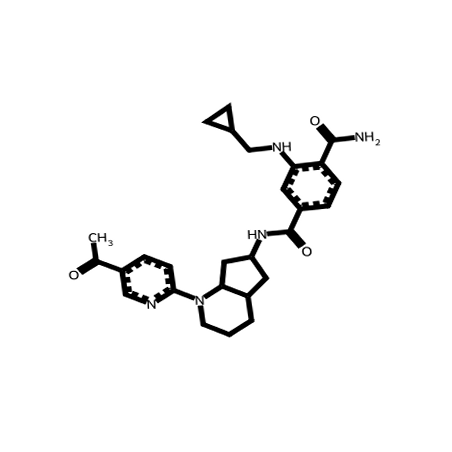 CC(=O)c1ccc(N2CCCC3CC(NC(=O)c4ccc(C(N)=O)c(NCC5CC5)c4)CC32)nc1